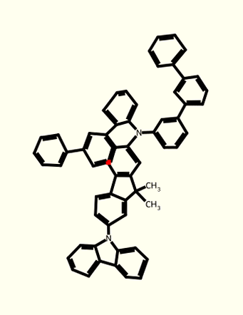 CC1(C)c2cc(N(c3cccc(-c4cccc(-c5ccccc5)c4)c3)c3ccccc3-c3cccc(-c4ccccc4)c3)ccc2-c2ccc(-n3c4ccccc4c4ccccc43)cc21